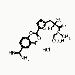 CCC(CC)(Cc1ccc(C(=O)Oc2ccc(C(=N)N)cc2F)s1)C(=O)N(C)CC(=O)O.Cl